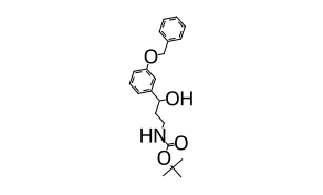 CC(C)(C)OC(=O)NCCC(O)c1cccc(OCc2ccccc2)c1